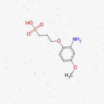 COc1ccc(OCCCS(=O)(=O)O)c(N)c1